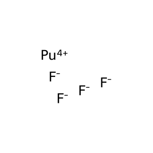 [F-].[F-].[F-].[F-].[Pu+4]